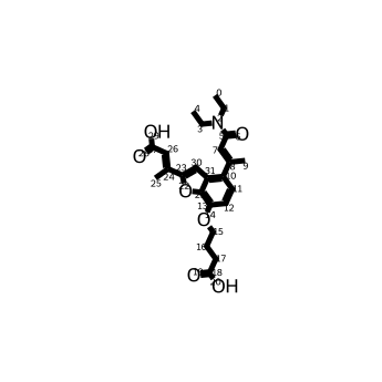 CCN(CC)C(=O)C=C(C)c1ccc(OCCCC(=O)O)c2oc(/C(C)=C/C(=O)O)cc12